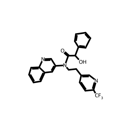 O=C(C(O)c1ccccc1)N(CCc1ccc(C(F)(F)F)nc1)c1cnc2ccccc2c1